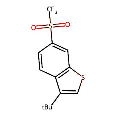 CC(C)(C)c1csc2cc(S(=O)(=O)C(F)(F)F)ccc12